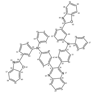 c1ccc(N(c2ccc(-c3nc4ccccc4nc3-c3ccc(N(c4ccccc4)c4cccc(-c5nc6ccccc6o5)c4)cc3)cc2)c2cccc(-c3nc4ccccc4o3)c2)cc1